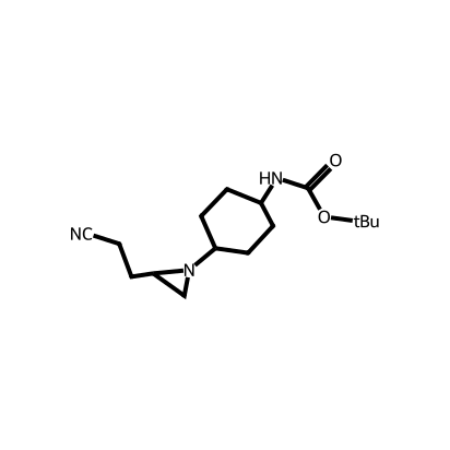 CC(C)(C)OC(=O)NC1CCC(N2CC2CCC#N)CC1